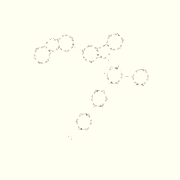 N#Cc1ccc(-c2ccc(-c3cc(-c4ccccc4)nc(-n4c5ccccc5c5cc(-c6ccc7sc8ccccc8c7c6)ccc54)n3)cc2)cc1